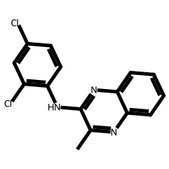 Cc1nc2ccccc2nc1Nc1ccc(Cl)cc1Cl